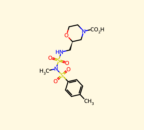 Cc1ccc(S(=O)(=O)N(C)S(=O)(=O)NC[C@@H]2CN(C(=O)O)CCO2)cc1